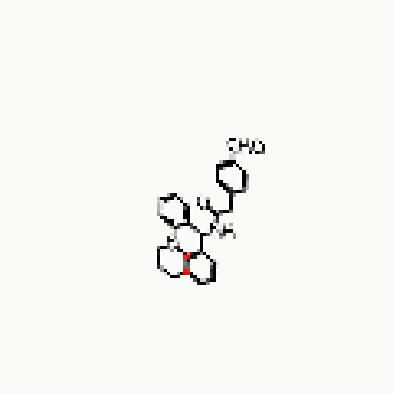 O=Cc1ccc(CC(=O)NC(c2ccccc2)c2ccccc2N2CCCCC2)cc1